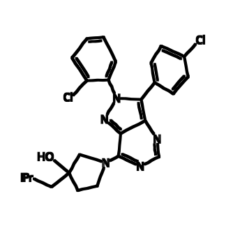 CC(C)CC1(O)CCN(c2ncnc3c(-c4ccc(Cl)cc4)n(-c4ccccc4Cl)nc23)C1